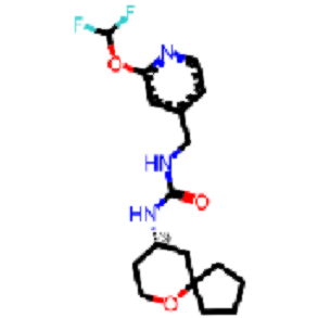 O=C(NCc1ccnc(OC(F)F)c1)N[C@H]1CCOC2(CCCC2)C1